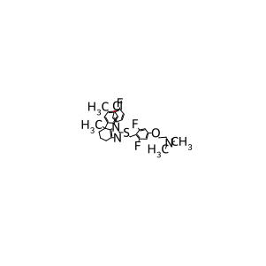 Cc1cc(C2(C)CCCc3nc(SCc4c(F)cc(OCCN(C)C)cc4F)n(-c4ccc(F)cc4)c32)ccc1Cl